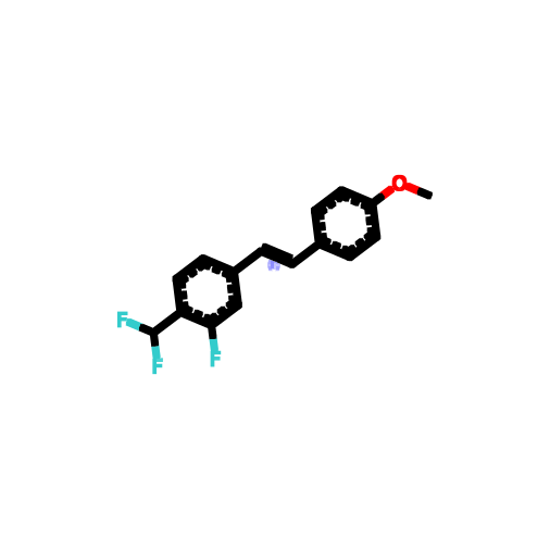 COc1ccc(/C=C/c2ccc(C(F)F)c(F)c2)cc1